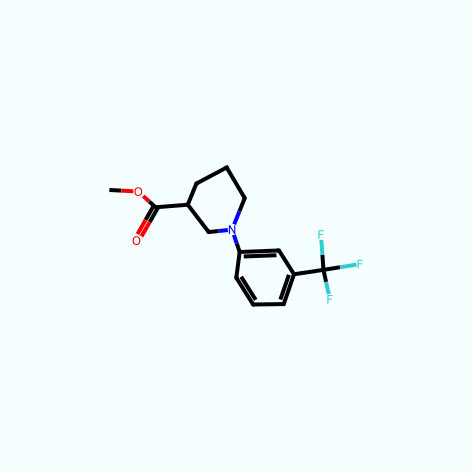 COC(=O)C1CCCN(c2cccc(C(F)(F)F)c2)C1